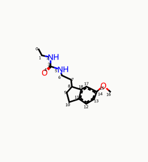 CCNC(=O)NCCC1CCc2ccc(OC)cc21